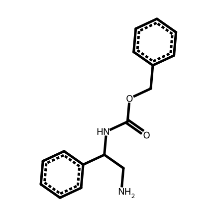 NCC(NC(=O)OCc1ccccc1)c1ccccc1